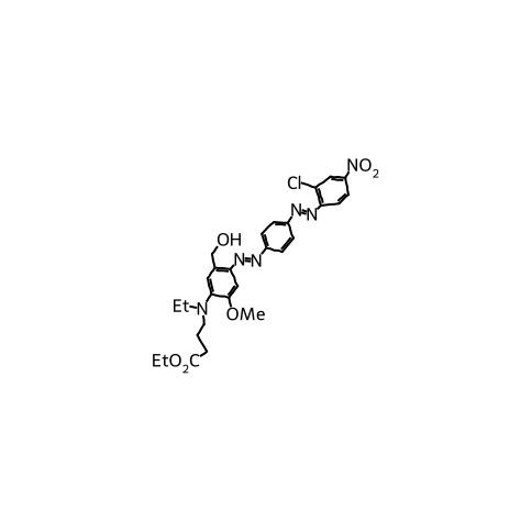 CCOC(=O)CCCN(CC)c1cc(CO)c(N=Nc2ccc(N=Nc3ccc([N+](=O)[O-])cc3Cl)cc2)cc1OC